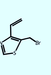 C=Cc1ncsc1CBr